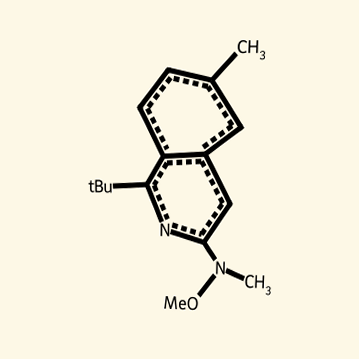 CON(C)c1cc2cc(C)ccc2c(C(C)(C)C)n1